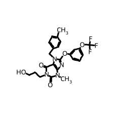 Cc1ccc(Cn2c(Oc3cccc(OC(F)(F)F)c3)nc3c2c(=O)n(CCCO)c(=O)n3C)cc1